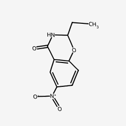 CCC1NC(=O)c2cc([N+](=O)[O-])ccc2O1